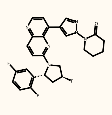 O=C1CCCCN1n1cc(-c2ccnc3ccc(N4C[C@@H](F)C[C@@H]4c4cc(F)ccc4F)nc23)cn1